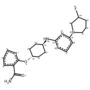 NC(=O)c1cccnc1O[C@H]1CC[C@H](Nc2nccc(N3CCCC(F)C3)n2)CC1